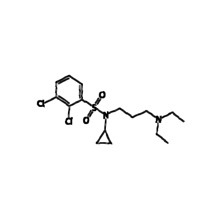 CCN(CC)CCCN(C1CC1)S(=O)(=O)c1cccc(Cl)c1Cl